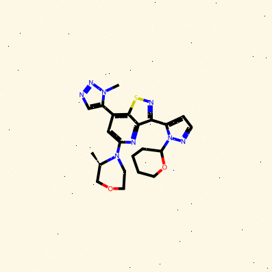 C[C@@H]1COCCN1c1cc(-c2cnnn2C)c2snc(-c3ccnn3C3CCCCO3)c2n1